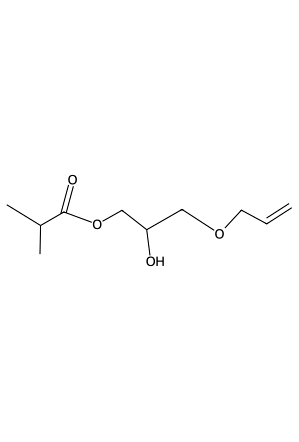 C=CCOCC(O)COC(=O)C(C)C